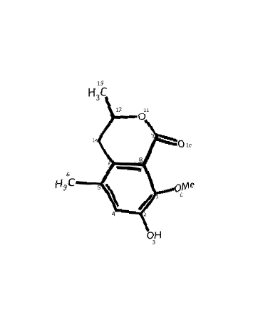 COc1c(O)cc(C)c2c1C(=O)OC(C)C2